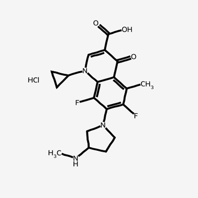 CNC1CCN(c2c(F)c(C)c3c(=O)c(C(=O)O)cn(C4CC4)c3c2F)C1.Cl